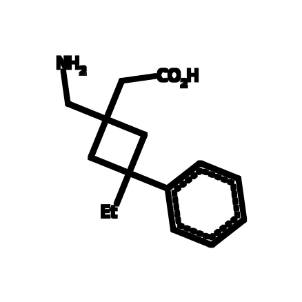 CCC1(c2ccccc2)CC(CN)(CC(=O)O)C1